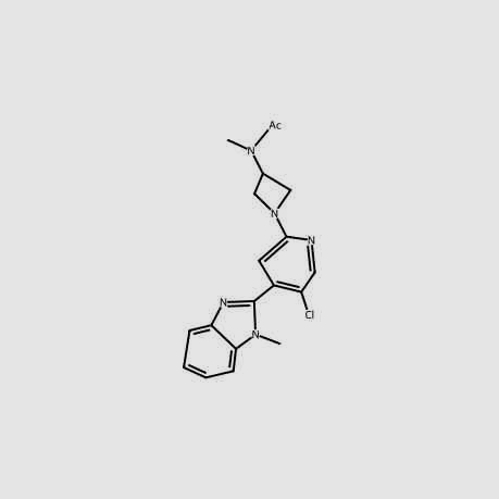 CC(=O)N(C)C1CN(c2cc(-c3nc4ccccc4n3C)c(Cl)cn2)C1